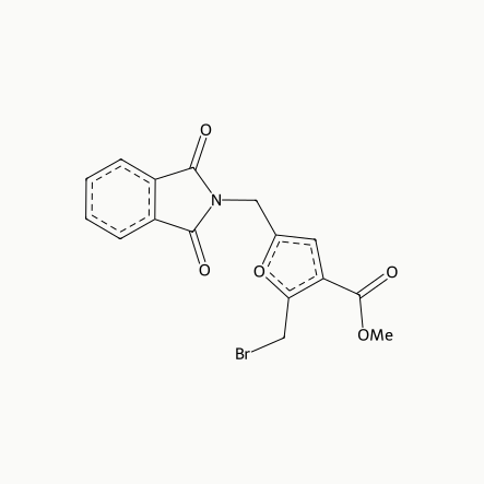 COC(=O)c1cc(CN2C(=O)c3ccccc3C2=O)oc1CBr